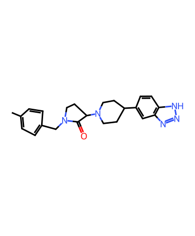 Cc1ccc(CN2CCC(N3CCC(c4ccc5[nH]nnc5c4)CC3)C2=O)cc1